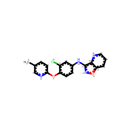 Cc1ccc(Oc2ccc(Nc3noc4cccnc34)cc2Cl)nc1